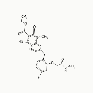 CCOC(=O)c1c(O)c2ncc(Cc3ccc(F)cc3OCC(=O)NC)cc2n(C)c1=O